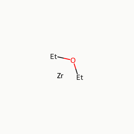 CCOCC.[Zr]